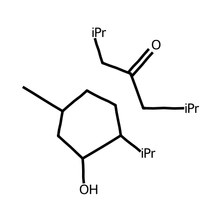 CC(C)CC(=O)CC(C)C.CC1CCC(C(C)C)C(O)C1